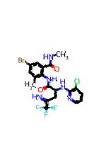 CNC(=O)c1cc(Br)cc(C)c1NC(=O)C(CC(=N)C(F)(F)F)Nc1ncccc1Cl